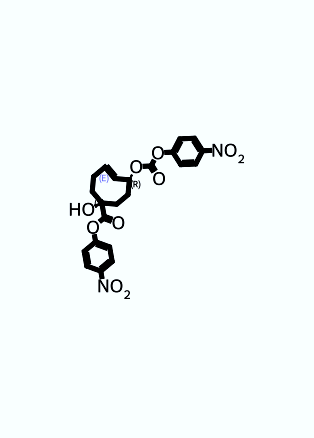 O=C(Oc1ccc([N+](=O)[O-])cc1)O[C@H]1/C=C/CC[C@@](O)(C(=O)Oc2ccc([N+](=O)[O-])cc2)CC1